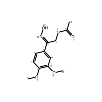 COc1ccc(C(COC(C)=O)=NO)cc1OC